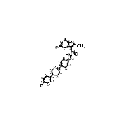 Cc1nc2ccc(F)cn2c1C(=O)NCc1ccc(N2CCC(c3ccc(F)cc3)CC2)cc1